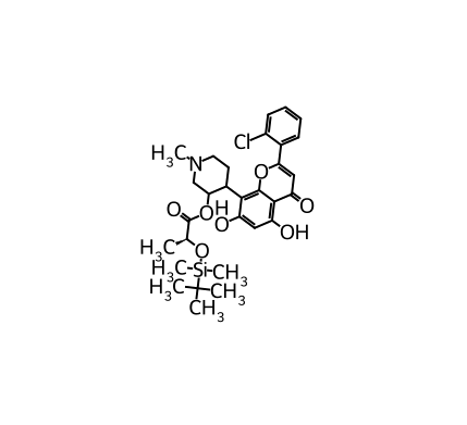 C[C@H](O[Si](C)(C)C(C)(C)C)C(=O)OC1CN(C)CCC1c1c(O)cc(O)c2c(=O)cc(-c3ccccc3Cl)oc12